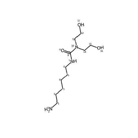 NCCCCCCNC(=O)N(CCO)CCO